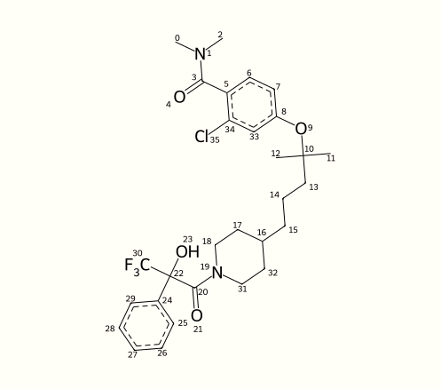 CN(C)C(=O)c1ccc(OC(C)(C)CCCC2CCN(C(=O)C(O)(c3ccccc3)C(F)(F)F)CC2)cc1Cl